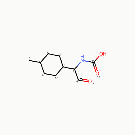 CC1CCC(C(C=O)NC(=O)O)CC1